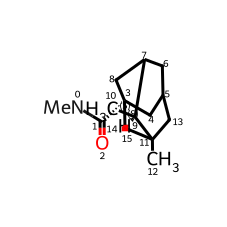 CNC(=O)[C@@]12CC3CC(C1)[C@H](C)C(C)(C3)C2